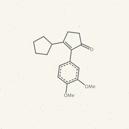 COc1ccc(C2=C(C3CCCC3)CCC2=O)cc1OC